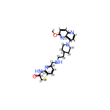 COc1ccc2nccc(N3CCC(CCNCc4ccc5c(n4)NC(=O)CS5)CC3)c2n1